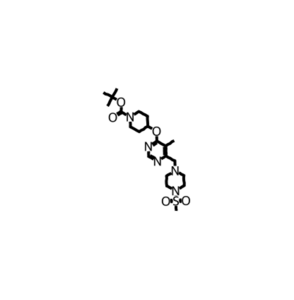 Cc1c(CN2CCN(S(C)(=O)=O)CC2)ncnc1OC1CCN(C(=O)OC(C)(C)C)CC1